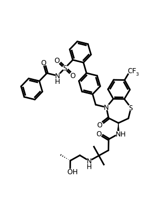 C[C@@H](O)CNC(C)(C)CC(=O)N[C@@H]1CSc2cc(C(F)(F)F)ccc2N(Cc2ccc(-c3ccccc3S(=O)(=O)NC(=O)c3ccccc3)cc2)C1=O